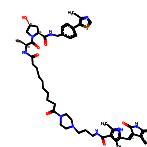 Cc1ncsc1-c1ccc(CNC(=O)[C@@H]2C[C@@H](O)CN2C(=O)[C@@H](NC(=O)CCCCCCCCC(=O)N2CCN(CCCNC(=O)c3c(C)[nH]c(/C=C4\C(=O)Nc5ccc(F)cc54)c3C)CC2)C(C)(C)C)cc1